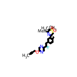 CC#CCOc1cnc(/C(F)=C/c2ccc3c(c2)[C@]2(C3)CS(=O)(=O)C(C)(C)C(NC)=N2)cn1